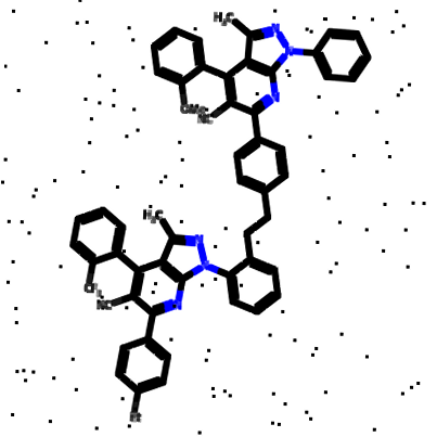 CCc1ccc(-c2nc3c(c(C)nn3-c3ccccc3CCc3ccc(-c4nc5c(c(C)nn5-c5ccccc5)c(-c5ccccc5OC)c4C#N)cc3)c(-c3ccccc3C(F)(F)F)c2C#N)cc1